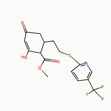 COC(=O)C1C(O)=CC(=O)CC1CCSc1ccc(C(F)(F)F)cn1